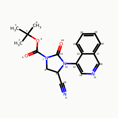 CC(C)(C)OC(=O)N1CC(C#N)N(c2cncc3ccccc23)C1=O